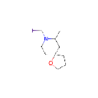 CC1CC2(CCCO2)CCN1CI